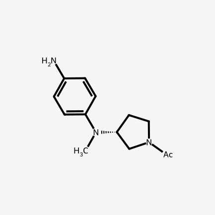 CC(=O)N1CC[C@@H](N(C)c2ccc(N)cc2)C1